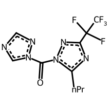 CCCc1nc(C(F)(F)C(F)(F)F)nn1C(=O)n1cncn1